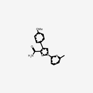 COc1ccc(-c2cn(-c3cccc(C)n3)nc2C(N)=O)cc1